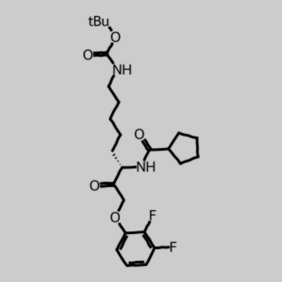 CC(C)(C)OC(=O)NCCCCC[C@H](NC(=O)C1CCCC1)C(=O)COc1cccc(F)c1F